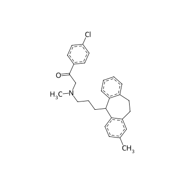 Cc1ccc2c(c1)CCc1ccccc1C2CCCN(C)CC(=O)c1ccc(Cl)cc1